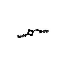 CN[C@H]1C[C@H](CNC(C)=O)C1